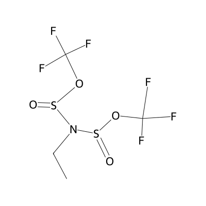 CCN(S(=O)OC(F)(F)F)S(=O)OC(F)(F)F